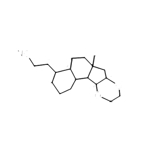 CC12CCC3C(CCC#N)CCCC3C1C1OCCOC1C2